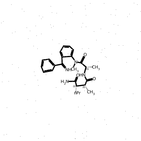 CCC[C@H](C(N)=O)[C@@H](C)C(=O)N[C@@H](C)C(=O)N(C)c1ccccc1C(=N)c1ccccc1